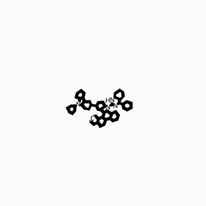 C1=CC2=C(c3ccccc3)N=C(n3c4ccc(C5C=c6c(n(-c7ccccc7)c7ccccc67)=CC5)cc4c4c5c6ccccc6ccc5c5ccccc5c43)NC2C=C1